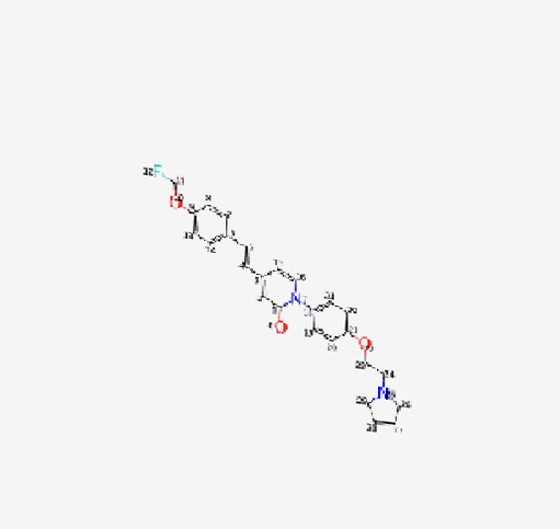 O=c1cc(C=Cc2ccc(OCF)cc2)ccn1-c1ccc(OCCN2CCCC2)cc1